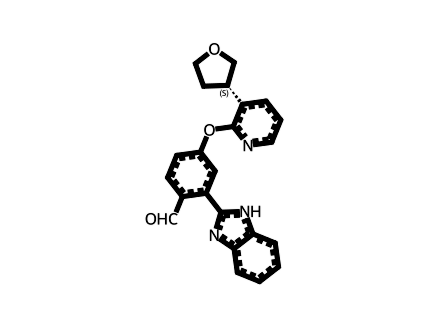 O=Cc1ccc(Oc2ncccc2[C@@H]2CCOC2)cc1-c1nc2ccccc2[nH]1